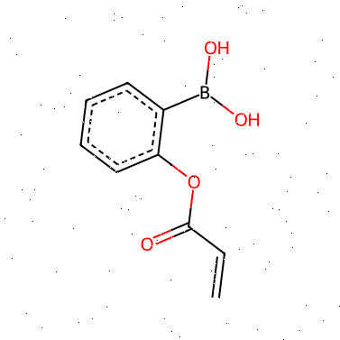 C=CC(=O)Oc1ccccc1B(O)O